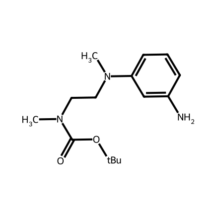 CN(CCN(C)c1cccc(N)c1)C(=O)OC(C)(C)C